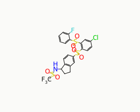 O=S(=O)(c1ccc2c(c1)CCC2NS(=O)(=O)C(F)(F)F)c1ccc(Cl)cc1S(=O)(=O)c1ccccc1F